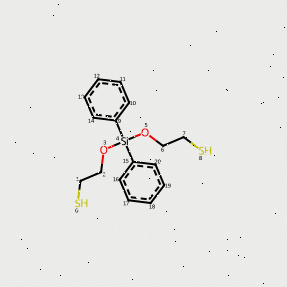 SCCO[Si](OCCS)(c1ccccc1)c1ccccc1